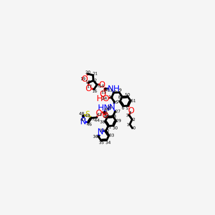 CCCCOc1ccc(CC(NC(=O)OC2COC3OCCC23)C(O)CN(Cc2ccc(-c3ccccn3)cc2)NC(=O)OCc2cncs2)cc1